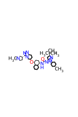 Cc1ccc(-n2nc(C(C)(C)C)cc2NC(=O)N[C@H]2CC[C@@H](Oc3ccc4nnc([C@@H]5CCN(C)C5)n4c3)c3ccccc32)cc1